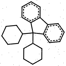 [c]1cccc2c1C(C1CCCCC1)(C1CCCCC1)c1[c]cccc1-2